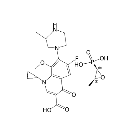 COc1c(N2CCNC(C)C2)c(F)cc2c(=O)c(C(=O)O)cn(C3CC3)c12.C[C@@H]1O[C@@H]1P(=O)(O)O